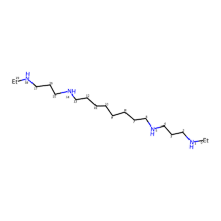 CCNCCCNCCCCCCCCNCCCNCC